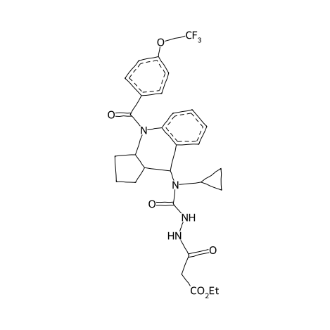 CCOC(=O)CC(=O)NNC(=O)N(C1CC1)C1c2ccccc2N(C(=O)c2ccc(OC(F)(F)F)cc2)C2CCCC21